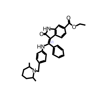 CCOC(=O)c1ccc2c(c1)NC(=O)/C2=C(\Nc1ccc(CN2C(C)CCCC2C)cc1)c1ccccc1